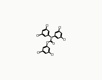 O=C(Oc1cc(Cl)cc(Cl)c1)N(c1cc(Cl)cc(Cl)c1)c1cc(Cl)cc(Cl)c1